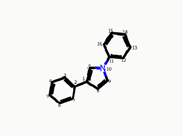 [c]1c(-c2ccccc2)ccn1-c1ccccc1